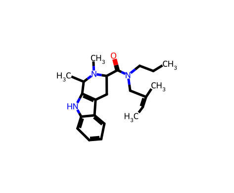 C/C=C(/C)CN(CCC)C(=O)C1Cc2c([nH]c3ccccc23)C(C)N1C